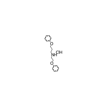 Cl.c1ccc(OCCCNCCOc2ccccc2)cc1